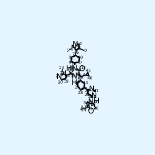 Cc1cnn(C)c1-c1ccc(NC(=O)[C@@H](NC(=O)c2ccnn2C)[C@@H](c2cccc(-c3cc(N4C[C@@H]5C[C@H]4CO5)ncn3)c2)C2CC2)cc1